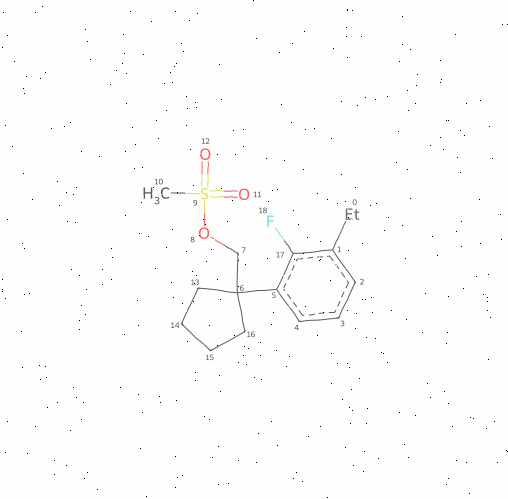 CCc1cccc(C2(COS(C)(=O)=O)CCCC2)c1F